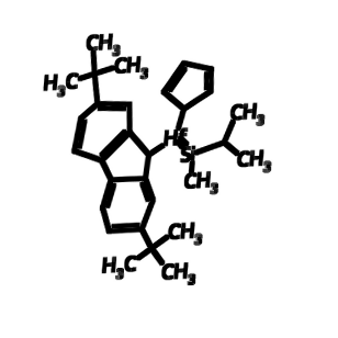 CC(C)[Si](C)=[Hf]([CH]1C=CC=C1)[CH]1c2cc(C(C)(C)C)ccc2-c2ccc(C(C)(C)C)cc21